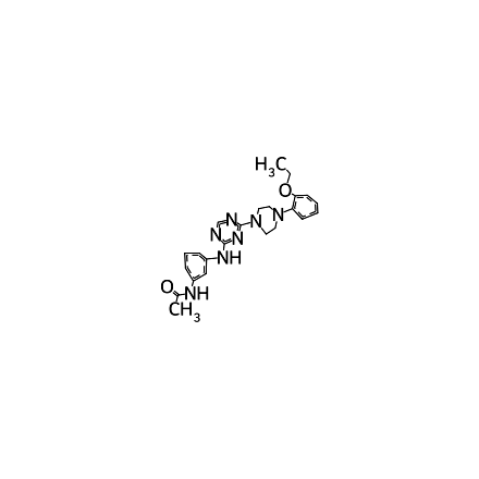 CCOc1ccccc1N1CCN(c2ncnc(Nc3cccc(NC(C)=O)c3)n2)CC1